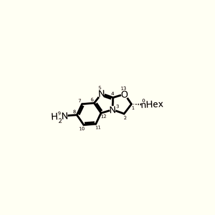 CCCCCC[C@@H]1Cn2c(nc3cc(N)ccc32)O1